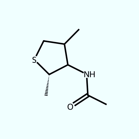 CC(=O)NC1C(C)CS[C@H]1C